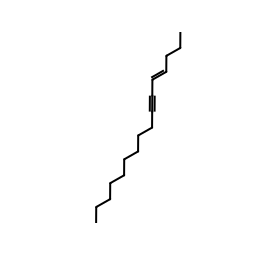 CCCC=CC#CCCCCCCCCC